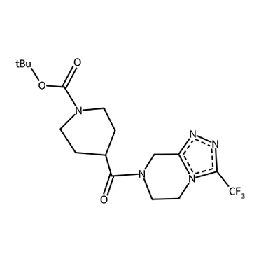 CC(C)(C)OC(=O)N1CCC(C(=O)N2CCn3c(nnc3C(F)(F)F)C2)CC1